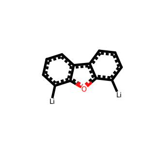 [Li][c]1cccc2c1oc1[c]([Li])cccc12